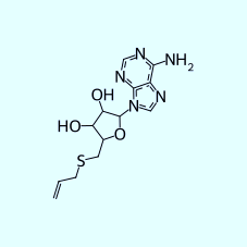 C=CCSCC1OC(n2cnc3c(N)ncnc32)C(O)C1O